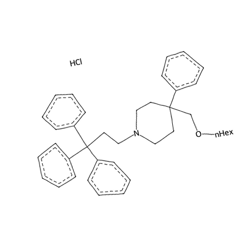 CCCCCCOCC1(c2ccccc2)CCN(CCC(c2ccccc2)(c2ccccc2)c2ccccc2)CC1.Cl